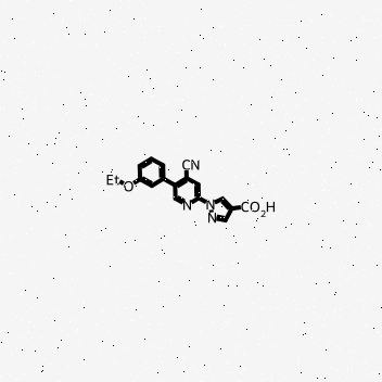 CCOc1cccc(-c2cnc(-n3cc(C(=O)O)cn3)cc2C#N)c1